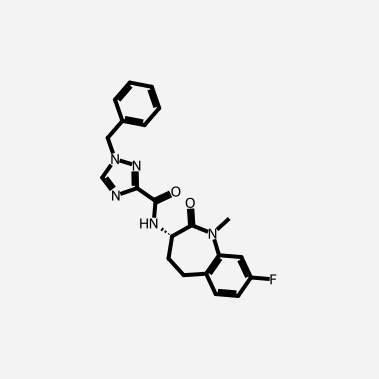 CN1C(=O)[C@@H](NC(=O)c2ncn(Cc3ccccc3)n2)CCc2ccc(F)cc21